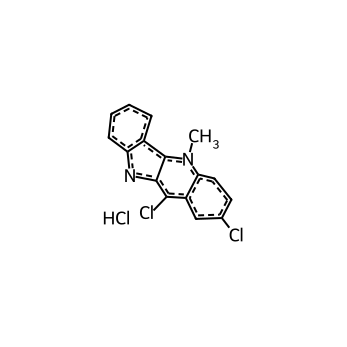 Cl.Cn1c2c3ccccc3nc-2c(Cl)c2cc(Cl)ccc21